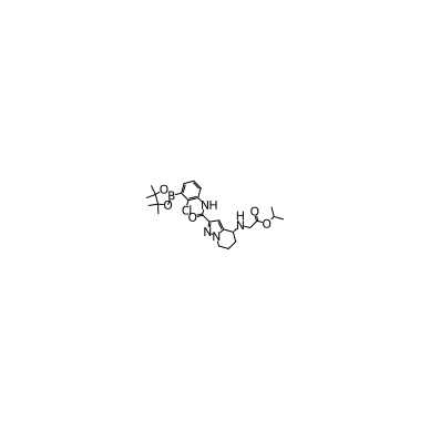 CC(C)OC(=O)CN[C@H]1CCCn2nc(C(=O)Nc3cccc(B4OC(C)(C)C(C)(C)O4)c3Cl)cc21